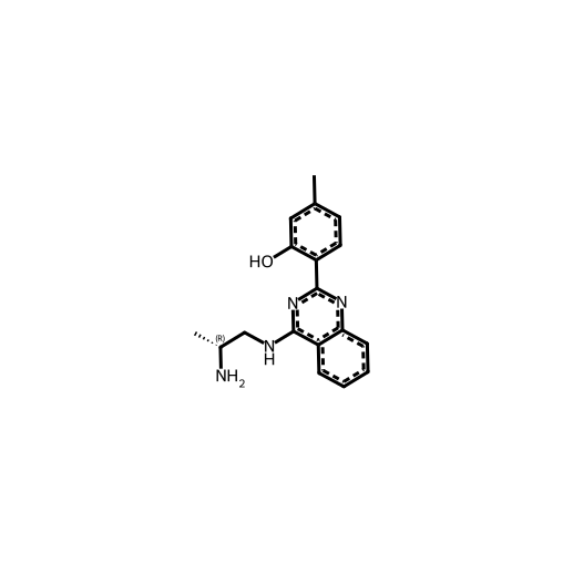 Cc1ccc(-c2nc(NC[C@@H](C)N)c3ccccc3n2)c(O)c1